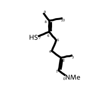 CN/C=C(\C)CCC(S)=C(C)C